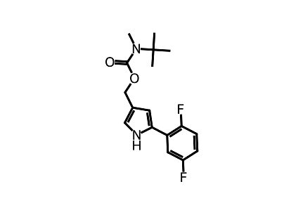 CN(C(=O)OCc1c[nH]c(-c2cc(F)ccc2F)c1)C(C)(C)C